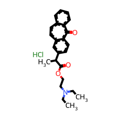 CCN(CC)CCOC(=O)C(C)c1ccc2c(=O)c3ccccc3ccc2c1.Cl